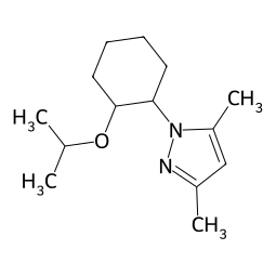 Cc1cc(C)n(C2CCCCC2OC(C)C)n1